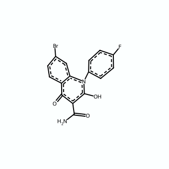 NC(=O)c1c(O)n(-c2ccc(F)cc2)c2cc(Br)ccc2c1=O